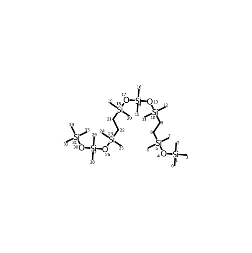 C[Si](C)(C)O[Si](C)(C)CC[Si](C)(C)O[Si](C)(C)O[Si](C)(C)CC[Si](C)(C)O[Si](C)(C)O[Si](C)(C)C